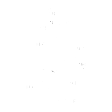 COc1ccc(F)c(Cl)c1[C@@H](C)c1c[nH]c2ncc(-c3c(C)nn(C)c3Cl)cc12